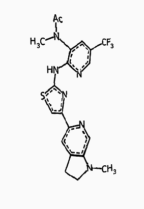 CC(=O)N(C)c1cc(C(F)(F)F)cnc1Nc1nc(-c2cc3c(cn2)N(C)CC3)cs1